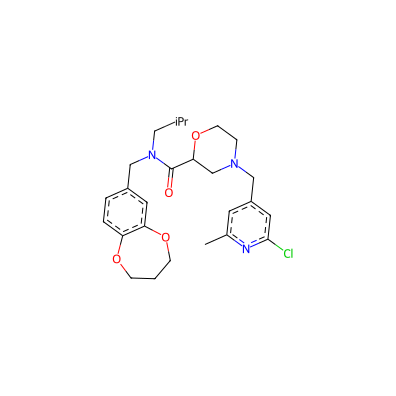 Cc1cc(CN2CCOC(C(=O)N(Cc3ccc4c(c3)OCCCO4)CC(C)C)C2)cc(Cl)n1